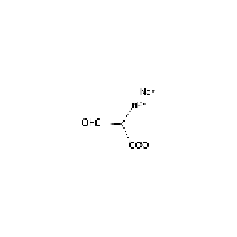 CCCC(C=O)C(=O)[O-].[Na+]